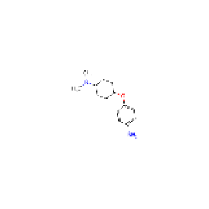 CN(C)C1CCC(Oc2ccc(N)cc2)CC1